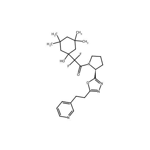 CC1(C)CC(C)(C)CC(O)(C(F)(F)C(=O)N2CCC[C@H]2c2nnc(CCc3cccnc3)o2)C1